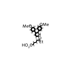 CCC(CCCCC(=O)O)Oc1ccc(-c2ccc(OC)cc2)c(-c2ccc(OC)cc2)n1